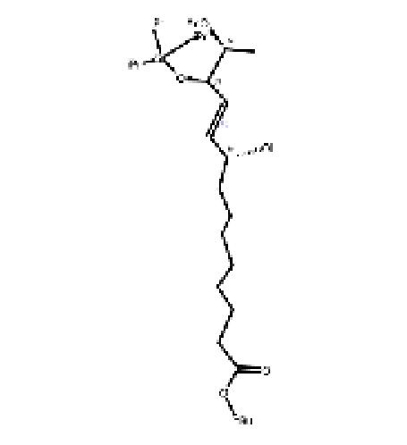 CC(=O)O[C@@H](C)[C@@H](/C=C/[C@H](O)CCCCCCCC(=O)OC(C)(C)C)O[Si](C(C)C)(C(C)C)C(C)C